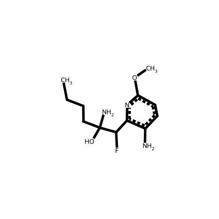 CCCCC(N)(O)C(F)c1nc(OC)ccc1N